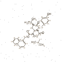 CC(C)C[C@@H]1ON(C(=O)OCc2cccc3ccccc23)C2CN(C(C)C)C(=O)[C@H](Cc3ccc(O)cc3)N2C1=O